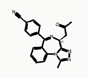 CC(=O)C[C@@H]1N=C(c2ccc(C#N)cc2)c2ccccc2-n2c(C)nnc21